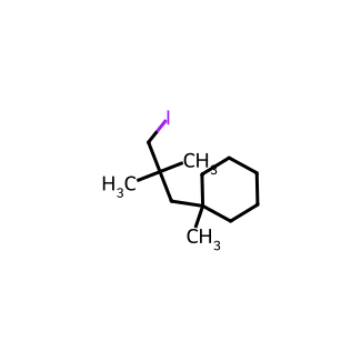 CC(C)(CI)CC1(C)CCCCC1